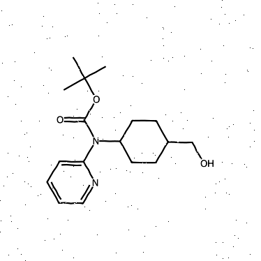 CC(C)(C)OC(=O)N(c1ccccn1)C1CCC(CO)CC1